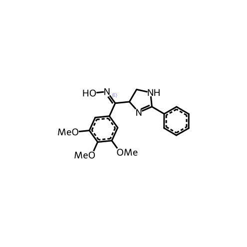 COc1cc(/C(=N\O)C2CNC(c3ccccc3)=N2)cc(OC)c1OC